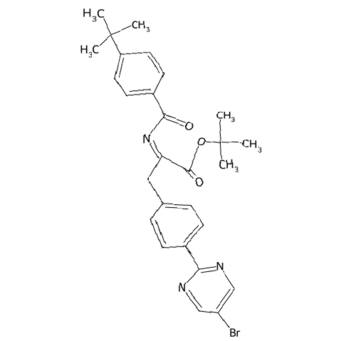 CC(C)(C)OC(=O)/C(Cc1ccc(-c2ncc(Br)cn2)cc1)=N\C(=O)c1ccc(C(C)(C)C)cc1